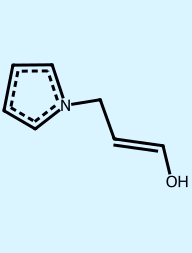 OC=CCn1cccc1